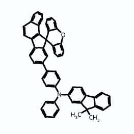 CC1(C)c2ccccc2-c2ccc(N(c3ccccc3)c3ccc(-c4ccc5c(c4)C4(c6ccccc6Oc6ccccc64)c4c-5ccc5ccccc45)cc3)cc21